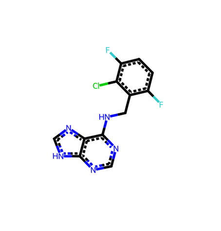 Fc1ccc(F)c(CNc2ncnc3[nH]cnc23)c1Cl